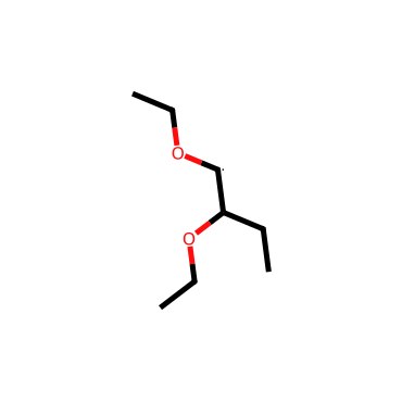 CCO[CH]C(CC)OCC